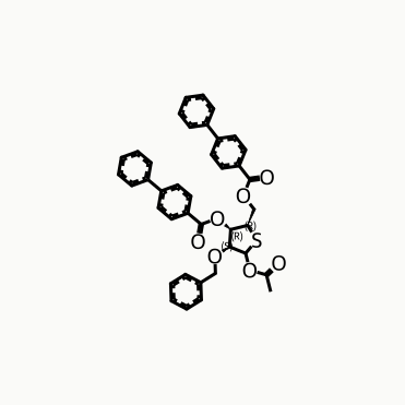 CC(=O)OC1S[C@H](COC(=O)c2ccc(-c3ccccc3)cc2)[C@H](OC(=O)c2ccc(-c3ccccc3)cc2)[C@@H]1OCc1ccccc1